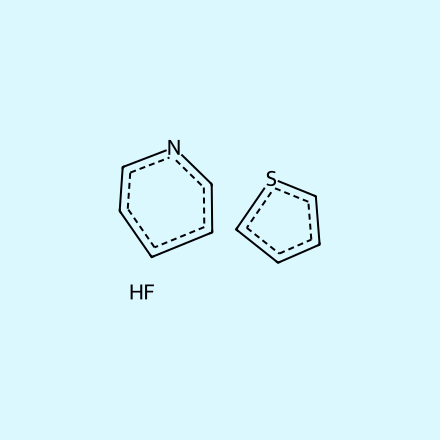 F.c1ccncc1.c1ccsc1